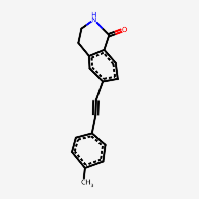 Cc1ccc(C#Cc2ccc3c(c2)CCNC3=O)cc1